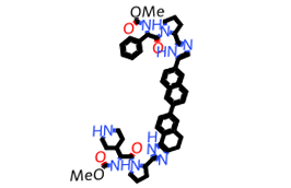 COC(=O)NC(C(=O)N1CCCC1c1ncc(-c2ccc3cc(-c4ccc5c(c4)CCc4nc(C6CCCN6C(=O)C(NC(=O)OC)C6CCNCC6)[nH]c4-5)ccc3c2)[nH]1)c1ccccc1